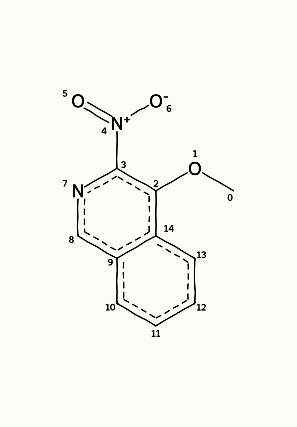 COc1c([N+](=O)[O-])ncc2ccccc12